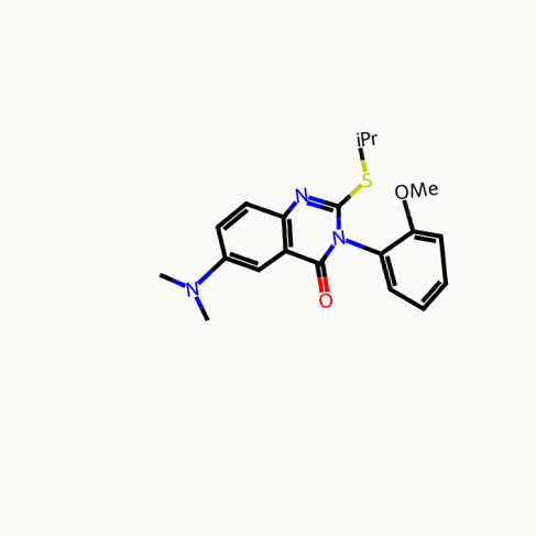 COc1ccccc1-n1c(SC(C)C)nc2ccc(N(C)C)cc2c1=O